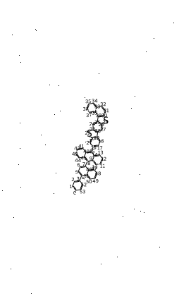 c1ccc(-c2ccc(-c3c4ccccc4c(-c4ccc5c(c4)sc4cc6c(cc45)sc4ccc5ccccc5c46)c4ccccc34)c3ccccc23)cc1